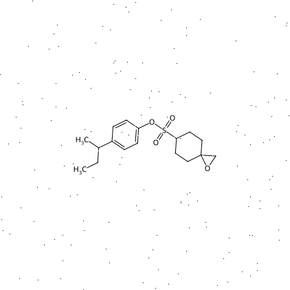 CCC(C)c1ccc(OS(=O)(=O)C2CCC3(CC2)CO3)cc1